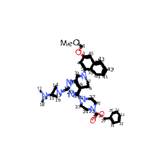 COCOc1cc(N2CCc3c(nc(N4CC(N(C)C)C4)nc3N3CCN(C(=O)OCc4ccccc4)CC3)C2)c2ccccc2c1